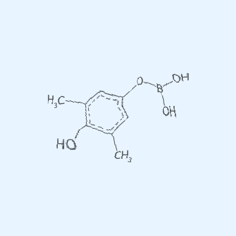 Cc1cc(OB(O)O)cc(C)c1O